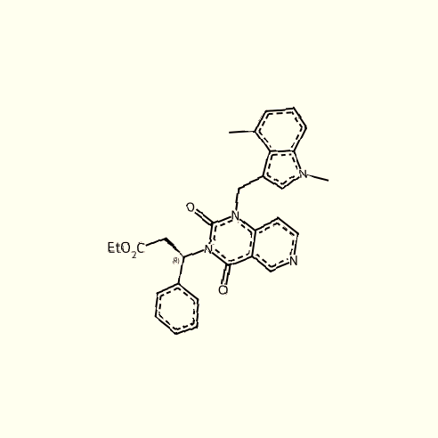 CCOC(=O)C[C@H](c1ccccc1)n1c(=O)c2cnccc2n(Cc2cn(C)c3cccc(C)c23)c1=O